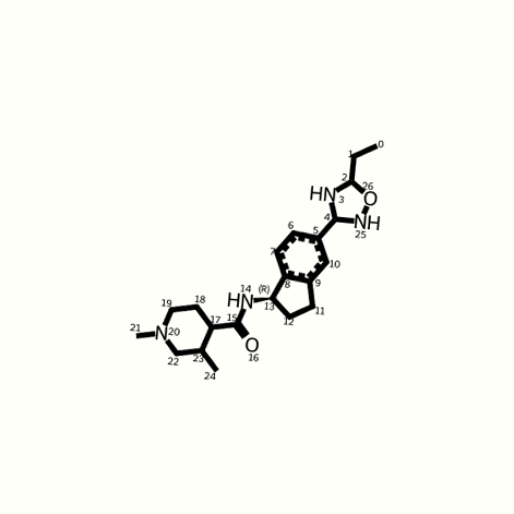 CCC1NC(c2ccc3c(c2)CC[C@H]3NC(=O)C2CCN(C)CC2C)NO1